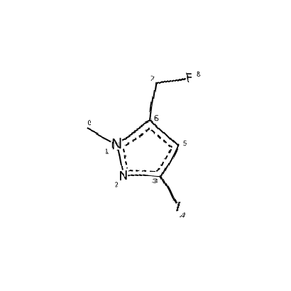 Cn1nc(I)cc1CF